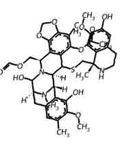 COc1cc2c(cc1O)CCN[C@]2(C)CSC1c2c(OC(C)=O)c(C)c3c(c2[C@H](COC=O)N2C(O)[C@@H]4Cc5cc(C)c(OC)c(O)c5[C@@H]([C@H]12)N4C)OCO3